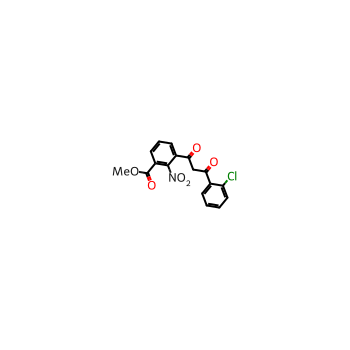 COC(=O)c1cccc(C(=O)CC(=O)c2ccccc2Cl)c1[N+](=O)[O-]